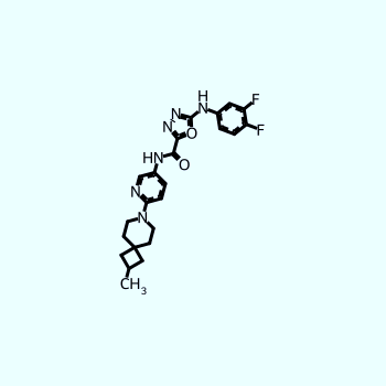 CC1CC2(CCN(c3ccc(NC(=O)c4nnc(Nc5ccc(F)c(F)c5)o4)cn3)CC2)C1